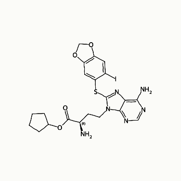 Nc1ncnc2c1nc(Sc1cc3c(cc1I)OCO3)n2CC[C@@H](N)C(=O)OC1CCCC1